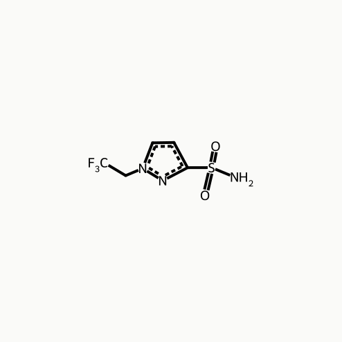 NS(=O)(=O)c1ccn(CC(F)(F)F)n1